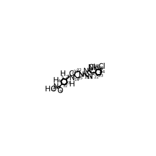 CC1(NCc2ccc(C(=O)NO)cc2)CCN(c2cnc(-c3cccc(Cl)c3Cl)c(N)n2)CC1